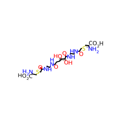 NC(CSCC(=O)NCCNC(=O)CC[C@@H](O)[C@H](O)C(=O)NCCNC(=O)CSC[C@@H](N)C(=O)O)C(=O)O